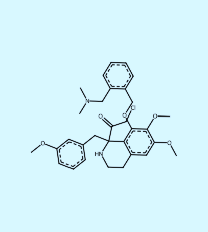 COc1cccc(CC2(C(=O)CCl)NCCc3cc(OC)c(OC)c(OCc4ccccc4CN(C)C)c32)c1